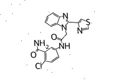 NC(=O)c1cc(NC(=O)Cn2c(-c3cscn3)nc3ccccc32)ccc1Cl